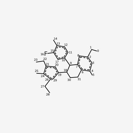 CCc1cc(C)c2c(c1)C(c1ccc(C)c(F)c1)C(c1cc(CC)c(C)c(CC)c1)CC2